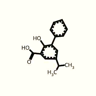 CC(C)c1cc(C(=O)O)c(O)c(-c2ccccc2)c1